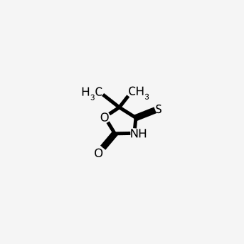 CC1(C)OC(=O)NC1=S